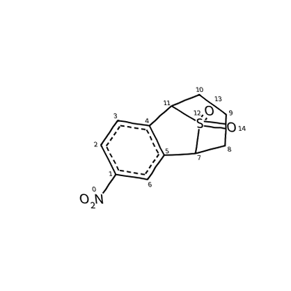 O=[N+]([O-])c1ccc2c(c1)C1CCCC2S1(=O)=O